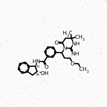 CCOCCC(c1cccc(C(=O)N[C@@H]2c3ccccc3C[C@H]2O)c1)N1C(=N)NC(C)(C)CC1=O